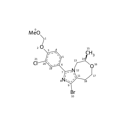 COCOc1ccc(-c2nc(Br)c3n2C[C@@H](C)OCC3)cc1Cl